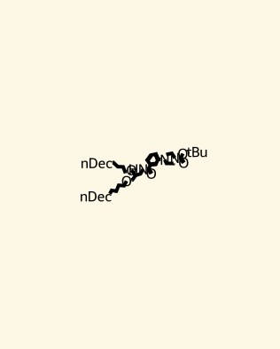 CCCCCCCCCCCCCCOCC(CNC(=O)c1cccc(N2CCN(C(=O)OC(C)(C)C)CC2)c1)OCCCCCCCCCCCCCC